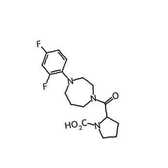 O=C(C1CCCN1C(=O)O)N1CCCN(c2ccc(F)cc2F)CC1